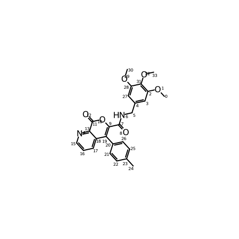 COc1cc(CNC(=O)c2oc(=O)c3ncccc3c2-c2ccc(C)cc2)cc(OC)c1OC